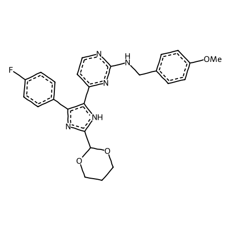 COc1ccc(CNc2nccc(-c3[nH]c(C4OCCCO4)nc3-c3ccc(F)cc3)n2)cc1